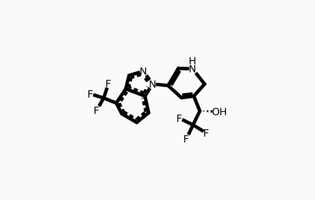 O[C@@H](C1=CC(n2ncc3c(C(F)(F)F)cccc32)=CNC1)C(F)(F)F